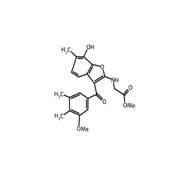 COC(=O)CNc1oc2c(O)c(C)ccc2c1C(=O)c1cc(C)c(C)c(OC)c1